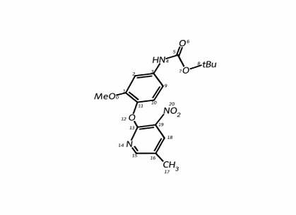 COc1cc(NC(=O)OC(C)(C)C)ccc1Oc1ncc(C)cc1[N+](=O)[O-]